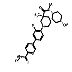 CCNC(=O)c1ccc(-c2ccc(N3CCC[C@@](C)(C(=O)N(CC)[C@H]4CC[C@@H](O)CC4)C3)c(F)c2)cn1